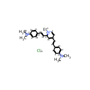 CC[n+]1ccc(C=Cc2ccc(N(C)C)cc2)cc1C=Cc1ccc(N(C)C)cc1.[Cl-]